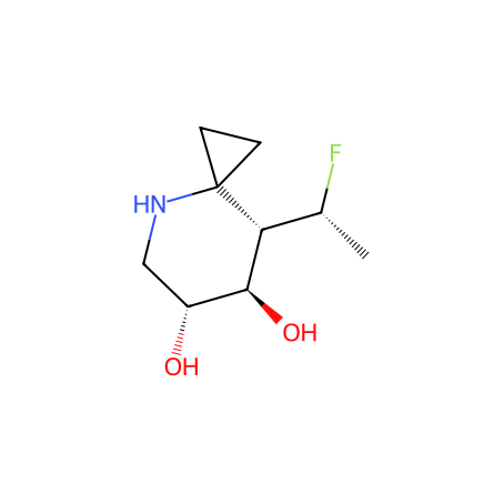 C[C@@H](F)[C@@H]1[C@@H](O)[C@H](O)CNC12CC2